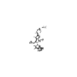 CC(=O)CN1CC[C@]2(c3sc4[nH]c(-c5cn6ncnc6c(C)c5C)c(C(C)C)c4c3C)CC2C1